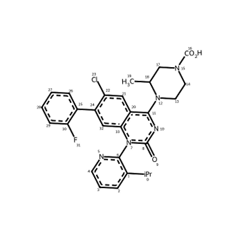 CC(C)c1cccnc1-n1c(=O)nc(N2CCN(C(=O)O)CC2C)c2cc(Cl)c(-c3ccccc3F)cc21